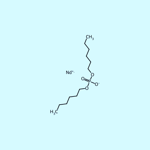 CCCCCCOP(=O)([O-])OCCCCCC.[Nd+]